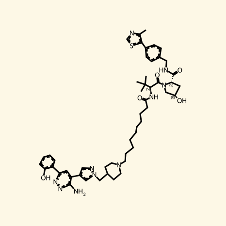 Cc1ncsc1-c1ccc(CNC(=O)[C@@H]2C[C@@H](O)CN2C(=O)[C@@H](NC(=O)CCCCCCCCCN2CCC(Cn3cc(-c4cc(-c5ccccc5O)nnc4N)cn3)CC2)C(C)(C)C)cc1